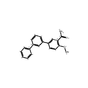 CCCOc1ccc(-c2cccc(-c3ccccc3)c2)cc1C(N)=O